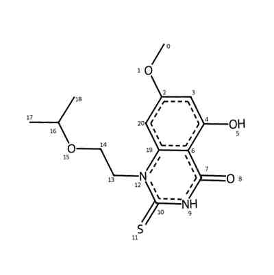 COc1cc(O)c2c(=O)[nH]c(=S)n(CCOC(C)C)c2c1